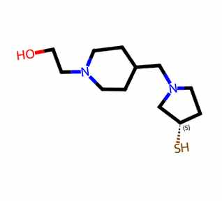 OCCN1CCC(CN2CC[C@H](S)C2)CC1